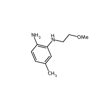 COCCNc1cc(C)ccc1N